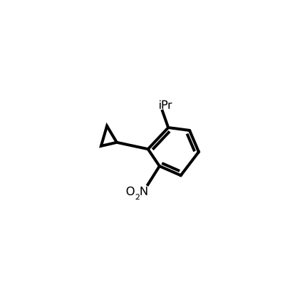 [CH2]C(C)c1cccc([N+](=O)[O-])c1C1CC1